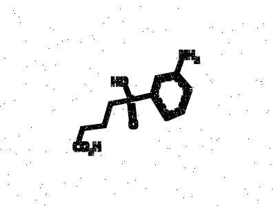 Nc1cccc(P(=O)(O)CCCC(=O)O)c1